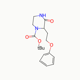 CC(C)(C)OC(=O)N1CCNC(=O)C1CCOc1ccccc1